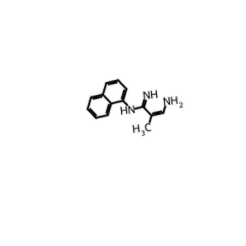 C/C(=C/N)C(=N)Nc1cccc2ccccc12